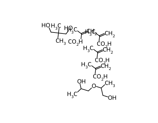 C=C(C)C(=O)O.C=C(C)C(=O)O.C=C(C)C(=O)O.C=C(C)C(=O)O.CC(C)(CO)CO.CC(O)COC(C)CO